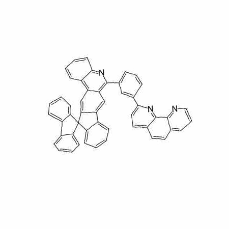 c1cc(-c2ccc3ccc4cccnc4c3n2)cc(-c2nc3ccccc3c3cc4c(cc23)-c2ccccc2C42c3ccccc3-c3ccccc32)c1